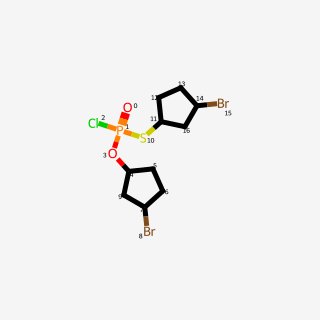 O=P(Cl)(OC1CCC(Br)C1)SC1CCC(Br)C1